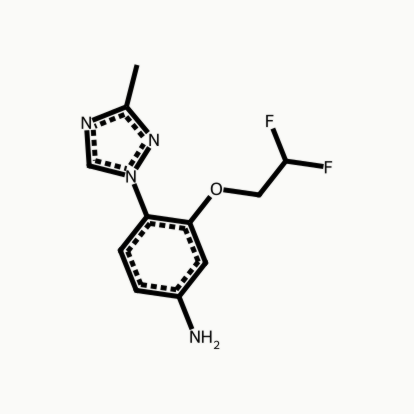 Cc1ncn(-c2ccc(N)cc2OCC(F)F)n1